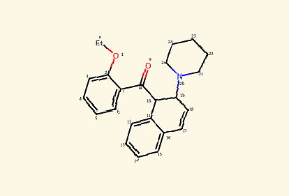 CCOc1ccccc1C(=O)C1c2ccccc2C=CC1N1CCCCC1